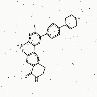 Nc1nc(F)c(-c2ccc(C3=CCNCC3)cc2)cc1-c1cc2c(cc1F)C(=O)NCC2